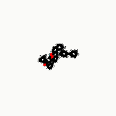 c1ccc(-c2ccc(N(c3ccc4c(c3)C3(c5ccccc5-4)c4ccccc4-n4c5ccccc5c5cccc3c54)c3cccc4ccccc34)cc2)cc1